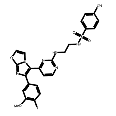 COc1cc(-c2nc3occn3c2-c2ccnc(NCCNS(=O)(=O)c3ccc(O)cc3)n2)ccc1F